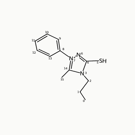 CCCn1c(S)n[n+](-c2ccccc2)c1C